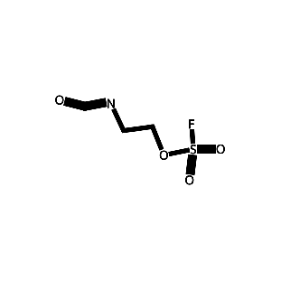 O=C=NCCOS(=O)(=O)F